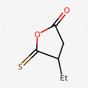 CCC1CC(=O)OC1=S